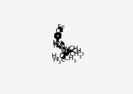 CC(C)(C)c1cc(C(C)(C)C)nc(N2CCn3c(nnc3-c3ccc(OC(F)(F)F)cc3)C2)n1